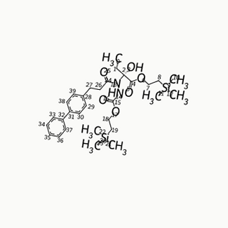 CC[C@@](O)(C(=O)OCC[Si](C)(C)C)N(NC(=O)OCC[Si](C)(C)C)C(=O)CCc1ccc(-c2ccccc2)cc1